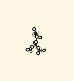 c1ccc(-c2nc3c(cc(-c4ccc(N(c5ccc6c(c5)sc5ccccc56)c5ccc6c(c5)c5ccccc5n6-c5ccccc5)cc4)c4ccccc43)o2)cc1